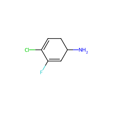 NC1C=C(F)C(Cl)=CC1